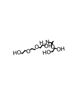 CC(N)=O.OCCO.OCCOCCOCCO